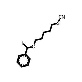 N#CSCCCCCOC(I)c1ccccc1